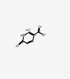 O=C([O-])c1ccc(=O)[nH]c1.[Li+]